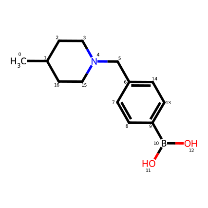 CC1CCN(Cc2ccc(B(O)O)cc2)CC1